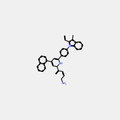 C=Cc1c(C)c2ccccc2n1-c1ccc(C2=CC(c3cccc4ccccc34)=CC(C(=C)/C=C\CN)N2)cc1